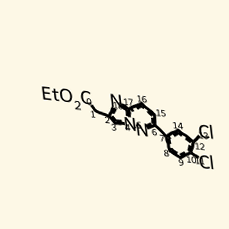 CCOC(=O)Cc1cn2nc(-c3ccc(Cl)c(Cl)c3)ccc2n1